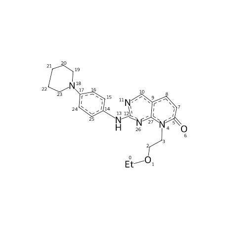 CCOCCn1c(=O)ccc2cnc(Nc3ccc(N4CCCCC4)cc3)nc21